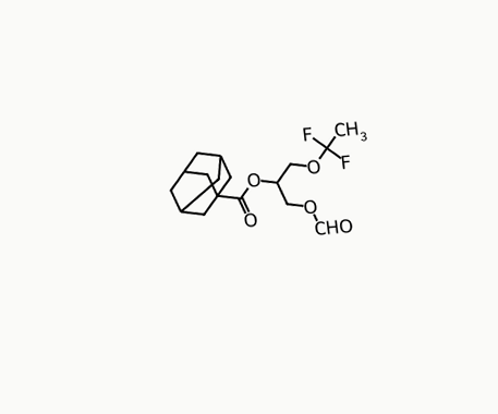 CC(F)(F)OCC(COC=O)OC(=O)C12CC3CC(CC(C3)C1)C2